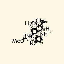 COCCNC(=O)c1ccc2c(c1)[C@H](Nc1ccc(C#N)cc1)[C@@H](C)[C@H](C1CC1)N2C(C)O